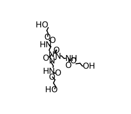 O=C(NCCN1CN(CCNC(=O)OCCCO)C(=O)N(CCNC(=O)OCCCO)C1=O)OCCCO